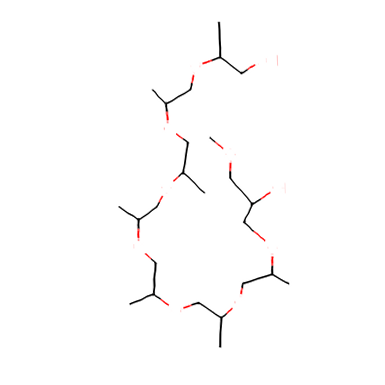 COCC(O)COC(C)COC(C)COC(C)COC(C)COC(C)COC(C)COC(C)CO